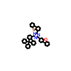 c1ccc(C2(c3ccccc3)c3ccccc3-c3c(-c4nc(-c5ccc6c(c5)oc5ccccc56)nc(-c5cccc6c5sc5ccccc56)n4)cccc32)cc1